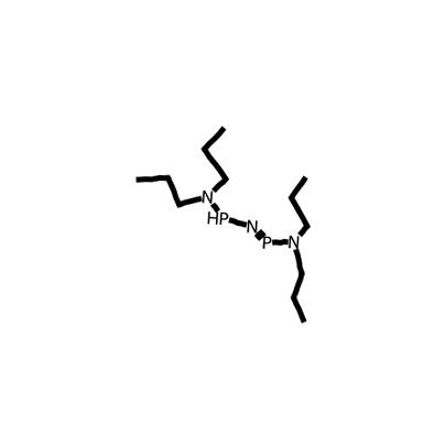 CCCN(CCC)P=NPN(CCC)CCC